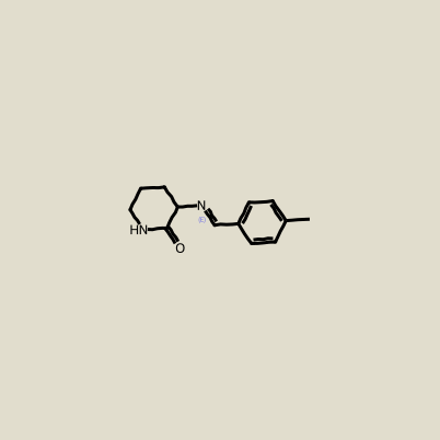 Cc1ccc(/C=N/C2CCCNC2=O)cc1